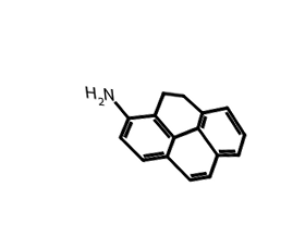 Nc1ccc2ccc3cccc4c3c2c1CC4